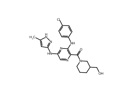 Cc1cc(Nc2cnc(C(=O)N3CCCC(CO)C3)c(Nc3ccc(Cl)cc3)n2)n[nH]1